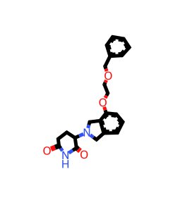 O=C1CCC(N2Cc3cccc(OCCOCc4ccccc4)c3C2)C(=O)N1